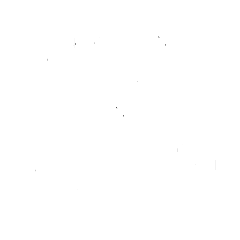 C=CCC(C#N)(C#N)C1=CCCCC1C(/C=C/c1cc(OC)ccc1OC)c1cc(OC)ccc1OC